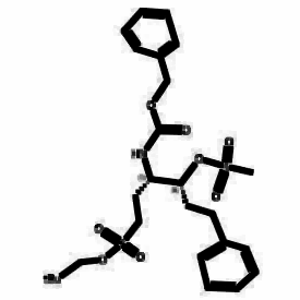 CC(C)(C)COS(=O)(=O)CC[C@H](NC(=O)OCc1ccccc1)[C@@H](CCc1ccccc1)OS(C)(=O)=O